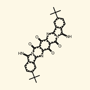 CC(C)(C)c1ccc2c(=N)n3c(=O)c4c(=O)c5nc6c7cc(C(C)(C)C)ccc7c(=N)n6c(=O)c5c(=O)c4nc3c2c1